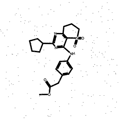 COC(=O)Cc1ccc(Nc2nc(C3CCCC3)nc3c2S(=O)(=O)CCC3)cc1